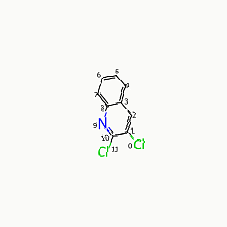 Clc1cc2ccccc2nc1Cl